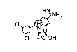 N=C(N)c1ccc2[nH]c(-c3cc(Cl)cc(Cl)c3)cc2c1.O=C(O)C(F)(F)F